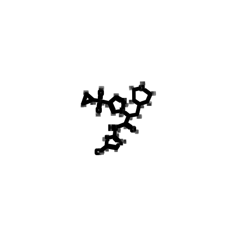 O=C(Nc1ncc(Cl)s1)C(CC1CCOCC1)n1cc(S(=O)(=O)C2CC2)cn1